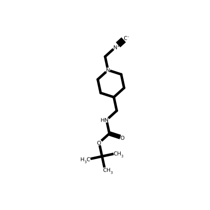 [C-]#[N+]CN1CCC(CNC(=O)OC(C)(C)C)CC1